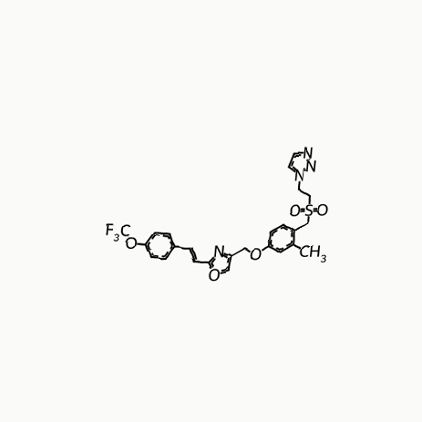 Cc1cc(OCc2coc(C=Cc3ccc(OC(F)(F)F)cc3)n2)ccc1CS(=O)(=O)CCn1ccnn1